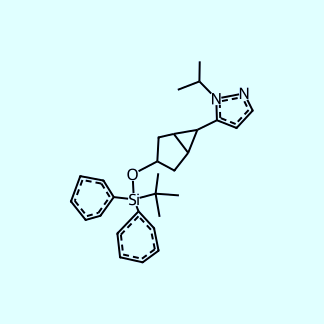 CC(C)n1nccc1C1C2CC(O[Si](c3ccccc3)(c3ccccc3)C(C)(C)C)CC21